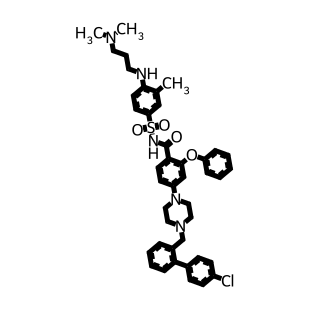 Cc1cc(S(=O)(=O)NC(=O)c2ccc(N3CCN(Cc4ccccc4-c4ccc(Cl)cc4)CC3)cc2Oc2ccccc2)ccc1NCCCN(C)C